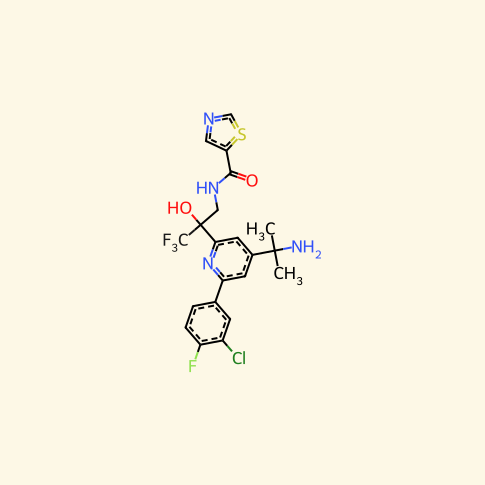 CC(C)(N)c1cc(-c2ccc(F)c(Cl)c2)nc(C(O)(CNC(=O)c2cncs2)C(F)(F)F)c1